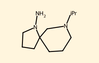 CC(C)N1CCCC2(CCCN2N)C1